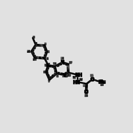 Cc1ccc(-n2ccc3nc(NNC(=O)OC(C)(C)C)cnc32)cc1